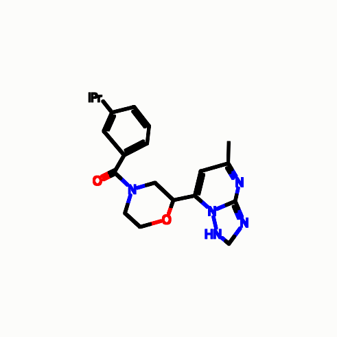 CC1=NC2=NCNN2C(C2CN(C(=O)c3cccc(C(C)C)c3)CCO2)=C1